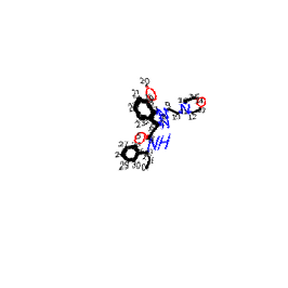 CC[C@H](NC(=O)c1nn(CCN2CCOCC2)c2c(OC)cccc12)c1ccccc1